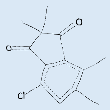 Cc1cc(Cl)c2c(c1C)C(=O)C(C)(C)C2=O